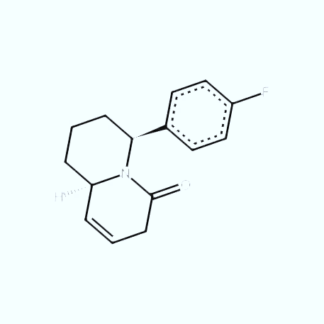 O=C1CC=C[C@H]2CCC[C@@H](c3ccc(F)cc3)N12